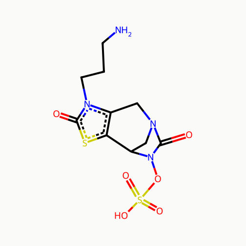 NCCCn1c2c(sc1=O)C1CN(C2)C(=O)N1OS(=O)(=O)O